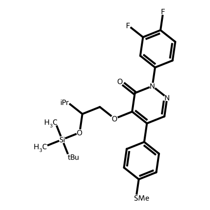 CSc1ccc(-c2cnn(-c3ccc(F)c(F)c3)c(=O)c2OCC(O[Si](C)(C)C(C)(C)C)C(C)C)cc1